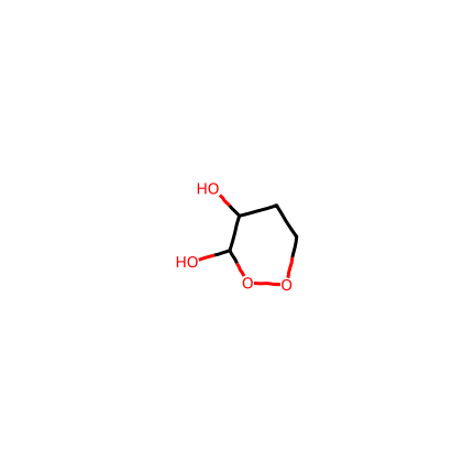 OC1CCOOC1O